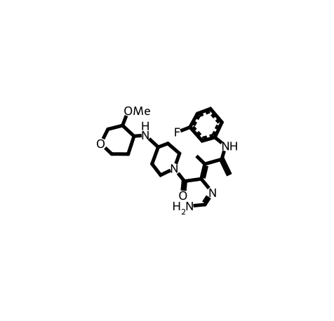 C=C(Nc1cccc(F)c1)/C(C)=C(\N=C/N)C(=O)N1CCC(NC2CCOCC2OC)CC1